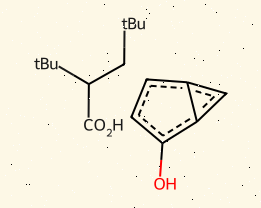 CC(C)(C)CC(C(=O)O)C(C)(C)C.Oc1ccc2cc1-2